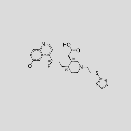 COc1ccc2nccc([C@H](F)CC[C@@H]3CCN(CCSc4cccs4)C[C@@H]3CC(=O)O)c2c1